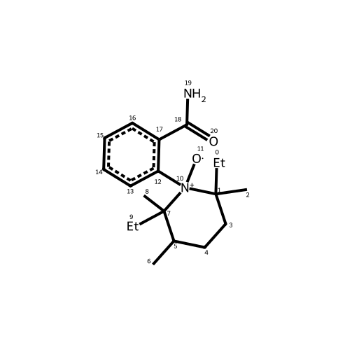 CCC1(C)CCC(C)C(C)(CC)[N+]1([O])c1ccccc1C(N)=O